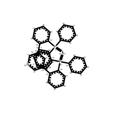 S=P(c1ccccc1)(c1ccccc1)c1ccccc1-c1cncc(-c2ccccc2P(=S)(c2ccccc2)c2ccccc2)c1